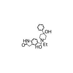 CC[C@](O)(c1ccc2c(c1)CC(=O)N2)N1CCC(O)(c2ccccc2)CC1